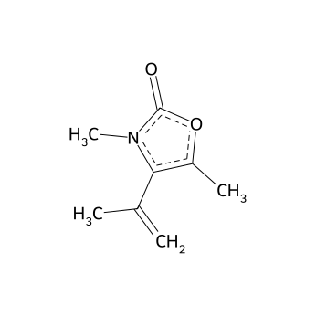 C=C(C)c1c(C)oc(=O)n1C